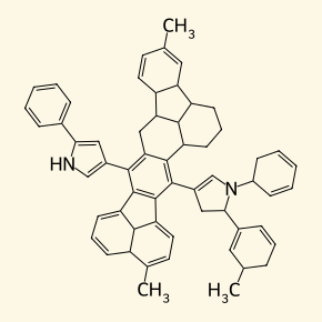 CC1=CC2C(C=C1)C1Cc3c(-c4c[nH]c(-c5ccccc5)c4)c4c(c(C5=CN(C6C=CC=CC6)C(C6=CC(C)CC=C6)C5)c3C3CCCC2C31)C1=CC=C(C)C2C=CC=C4C12